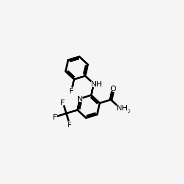 NC(=O)c1ccc(C(F)(F)F)nc1Nc1ccccc1F